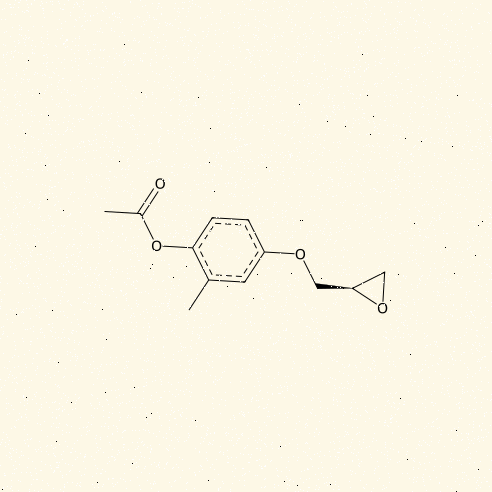 CC(=O)Oc1ccc(OC[C@H]2CO2)cc1C